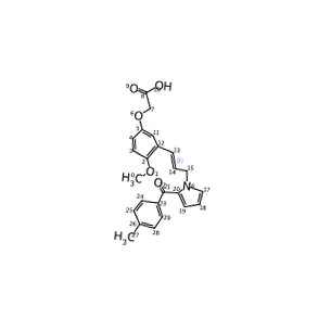 COc1ccc(OCC(=O)O)cc1/C=C/Cn1cccc1C(=O)c1ccc(C)cc1